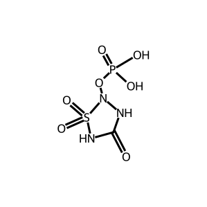 O=C1NN(OP(=O)(O)O)S(=O)(=O)N1